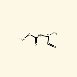 COC(=O)N[C@H](C)C=O